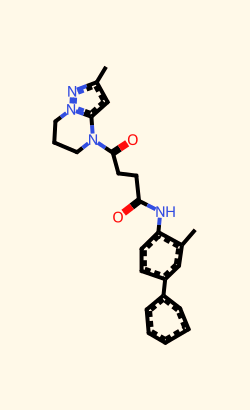 Cc1cc2n(n1)CCCN2C(=O)CCC(=O)Nc1ccc(-c2ccccc2)cc1C